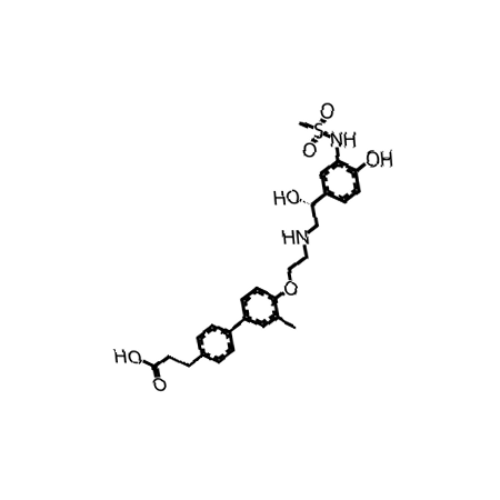 Cc1cc(-c2ccc(CCC(=O)O)cc2)ccc1OCCNC[C@H](O)c1ccc(O)c(NS(C)(=O)=O)c1